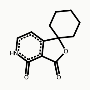 O=C1OC2(CCCCC2)c2cc[nH]c(=O)c21